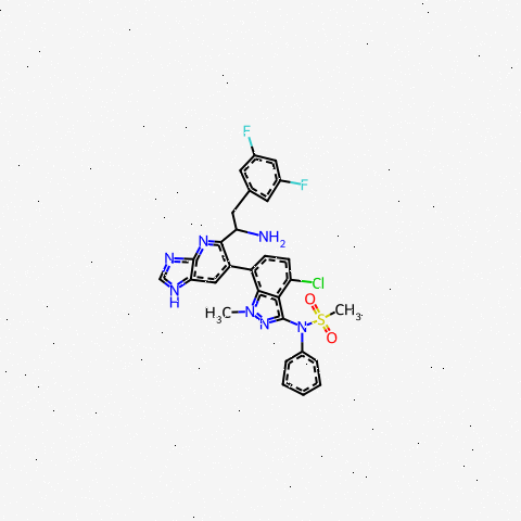 Cn1nc(N(c2ccccc2)S(C)(=O)=O)c2c(Cl)ccc(-c3cc4[nH]cnc4nc3C(N)Cc3cc(F)cc(F)c3)c21